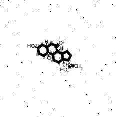 CC(C)[C@H]1CCC2[C@@H]3C(=O)C[C@@H]4C[C@H](O)CC[C@]4(C)C3CC[C@@]21C